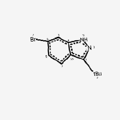 CC(C)(C)c1n[nH]c2cc(Br)ccc12